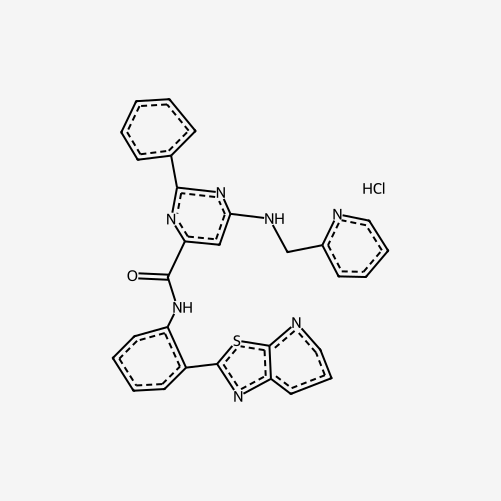 Cl.O=C(Nc1ccccc1-c1nc2cccnc2s1)c1cc(NCc2ccccn2)nc(-c2ccccc2)n1